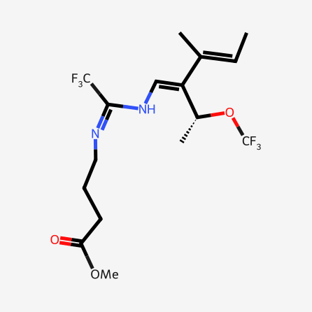 C/C=C(C)/C(=C/N/C(=N\CCCC(=O)OC)C(F)(F)F)[C@@H](C)OC(F)(F)F